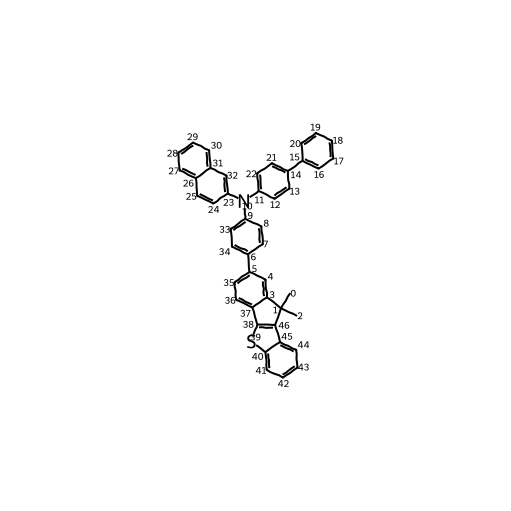 CC1(C)c2cc(-c3ccc(N(c4ccc(-c5ccccc5)cc4)c4ccc5ccccc5c4)cc3)ccc2-c2sc3ccccc3c21